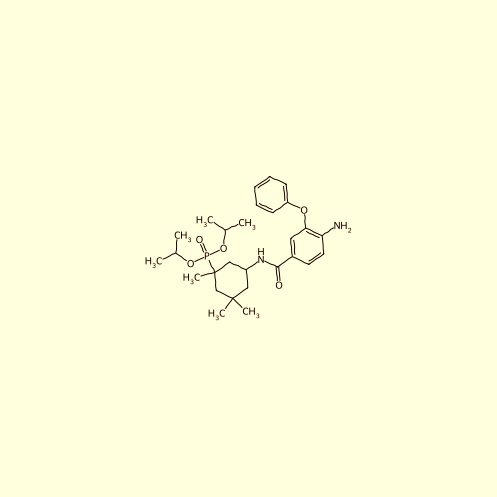 CC(C)OP(=O)(OC(C)C)C1(C)CC(NC(=O)c2ccc(N)c(Oc3ccccc3)c2)CC(C)(C)C1